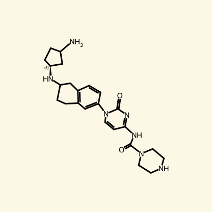 NC1CC[C@H](NC2CCc3cc(-n4ccc(NC(=O)N5CCNCC5)nc4=O)ccc3C2)C1